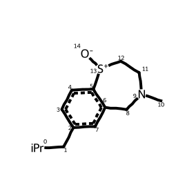 CC(C)Cc1ccc2c(c1)CN(C)CC[S+]2[O-]